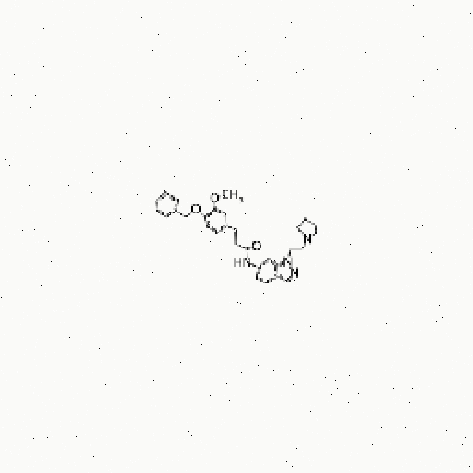 COc1cc(/C=C/C(=O)Nc2ccc3cnn(CCN4CCCC4)c3c2)ccc1OCc1ccccc1